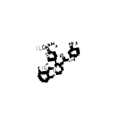 Cc1cccc(F)c1C(=O)N1CCCC(C(=O)Nc2cccc(C(C)(C)C)c2)[C@@H]1c1ccc(N(C)C)nc1